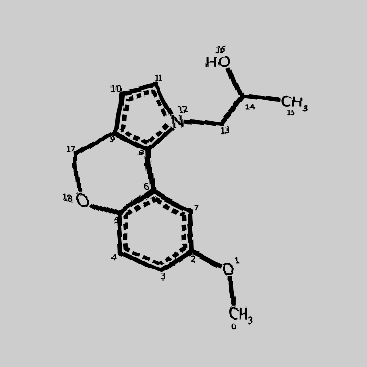 COc1ccc2c(c1)-c1c(ccn1CC(C)O)CO2